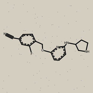 N#Cc1ccc(COc2cccc(NC3CCNC3)n2)c(F)c1